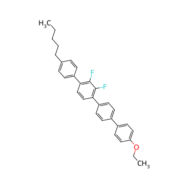 CCCCCc1ccc(-c2ccc(-c3ccc(-c4ccc(OCC)cc4)cc3)c(F)c2F)cc1